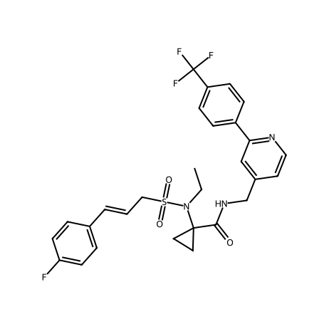 CCN(C1(C(=O)NCc2ccnc(-c3ccc(C(F)(F)F)cc3)c2)CC1)S(=O)(=O)CC=Cc1ccc(F)cc1